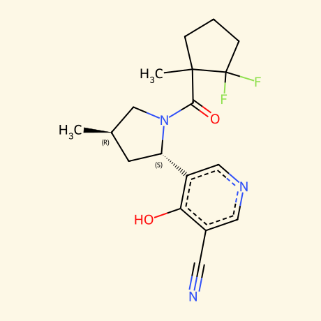 C[C@@H]1C[C@@H](c2cncc(C#N)c2O)N(C(=O)C2(C)CCCC2(F)F)C1